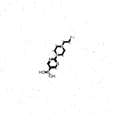 OB(O)c1cnc(N2CCN(CCF)CC2)nc1